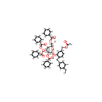 CCc1ccc(Cc2ccc(COC(C)=O)cc2O[C@@H]2O[C@H]([C@@H](C)OC(=O)c3ccccc3)[C@@H](OC(=O)c3ccccc3)[C@H](OC(=O)c3ccccc3)[C@H]2OC(=O)c2ccccc2)cc1